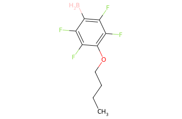 Bc1c(F)c(F)c(OCCCC)c(F)c1F